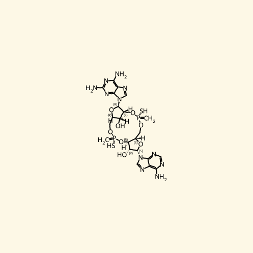 C=P1(S)OC[C@H]2O[C@@H](n3cnc4c(N)nc(N)nc43)[C@H](OP(=C)(S)OC[C@@H]3O[C@H](n4cnc5c(N)ncnc54)[C@H](O)[C@H]3O1)[C@@H]2O